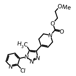 COCCOC(=O)N1CC=C(c2nnn(-c3cccnc3Cl)c2C)CC1